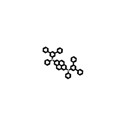 c1ccc(-c2cc(-c3ccccc3)cc(N(c3ccccc3)c3cc4ccc5cc(N(c6ccccc6)c6cc(-c7ccccc7)cc(-c7ccccc7)c6)cc6ccc(c3)c4c56)c2)cc1